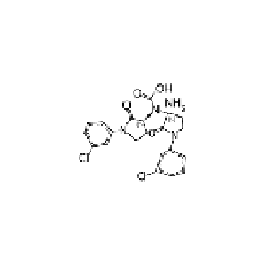 N[C@]1(N(C(=O)O)[C@H]2CCN(c3cccc(Cl)c3)C2=O)CCN(c2cccc(Cl)c2)C1=O